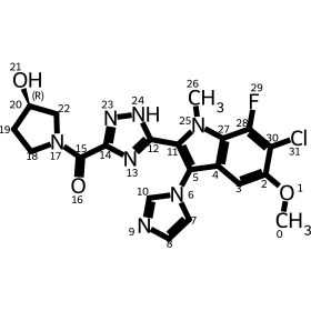 COc1cc2c(-n3ccnc3)c(-c3nc(C(=O)N4CC[C@@H](O)C4)n[nH]3)n(C)c2c(F)c1Cl